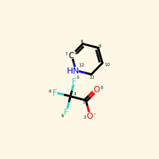 O=C([O-])C(F)(F)F.[C+]1=CC=CCN1